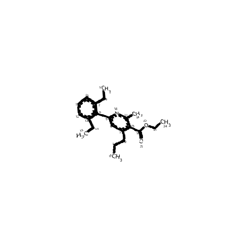 CCCc1cc(-c2c(CC)cccc2CC)nc(C)c1C(=O)OCC